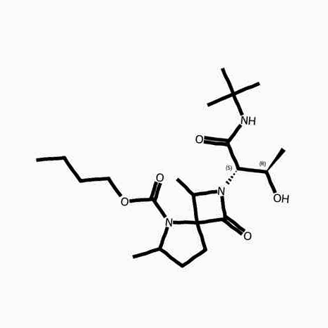 CCCCOC(=O)N1C(C)CCC12C(=O)N([C@H](C(=O)NC(C)(C)C)[C@@H](C)O)C2C